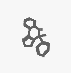 CC1(c2ccncc2)Nc2ccccc2C2=NCCN21